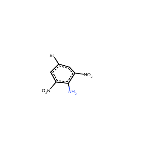 CCc1cc([N+](=O)[O-])c(N)c([N+](=O)[O-])c1